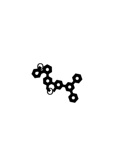 c1ccc(-c2cc(-c3ccccc3)cc(-c3ccc4c(c3)COCc3ccc(-c5cccc6oc7ccccc7c56)cc3-4)c2)cc1